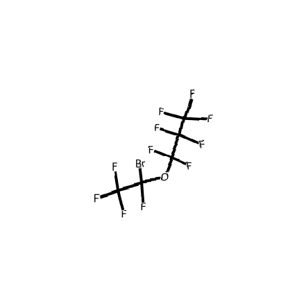 FC(F)(F)C(F)(Br)OC(F)(F)C(F)(F)C(F)(F)F